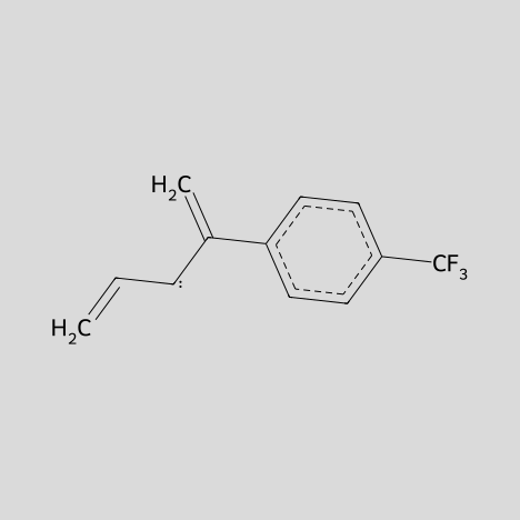 C=C[C]C(=C)c1ccc(C(F)(F)F)cc1